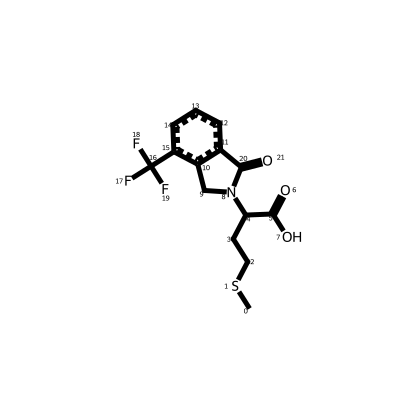 CSCCC(C(=O)O)N1Cc2c(cccc2C(F)(F)F)C1=O